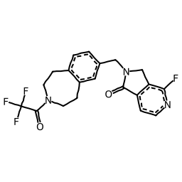 O=C1c2ccnc(F)c2CN1Cc1ccc2c(c1)CCN(C(=O)C(F)(F)F)CC2